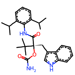 CC(C)c1cccc(C(C)C)c1NC(=O)[C@@](Cc1c[nH]c2ccccc12)(OC(N)=O)C(C)(C)C